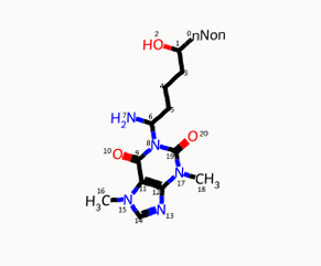 CCCCCCCCCC(O)CCCC(N)n1c(=O)c2c(ncn2C)n(C)c1=O